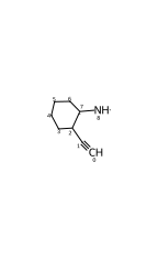 C#CC1CCCC[C]1[NH]